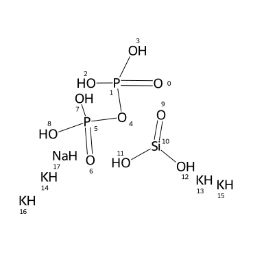 O=P(O)(O)OP(=O)(O)O.O=[Si](O)O.[KH].[KH].[KH].[KH].[NaH]